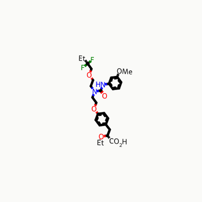 CCOC(Cc1ccc(OCCN(CCOCC(F)(F)CC)C(=O)Nc2cccc(OC)c2)cc1)C(=O)O